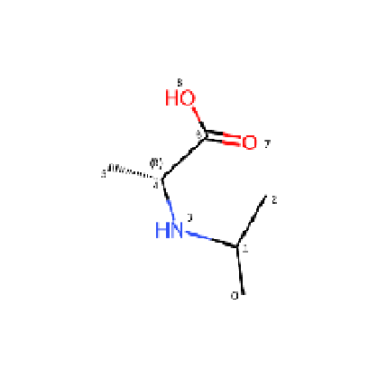 CC(C)N[C@H](C)C(=O)O